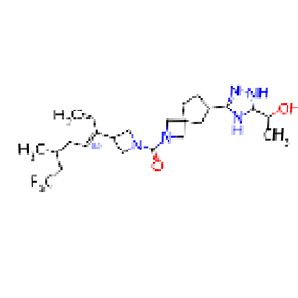 C=C/C(=C\CC(C)CC(F)(F)F)C1CN(C(=O)N2CC3(CCC(C4=NNC(C(C)O)N4)C3)C2)C1